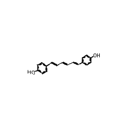 Oc1ccc(C=CC=CC=Cc2ccc(O)cc2)cc1